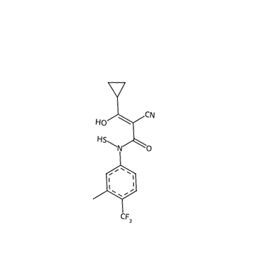 Cc1cc(N(S)C(=O)C(C#N)=C(O)C2CC2)ccc1C(F)(F)F